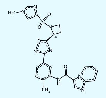 Cc1ccc(-c2noc([C@@H]3CCN3S(=O)(=O)c3cn(C)cn3)n2)cc1NC(=O)c1cnc2ccccn12